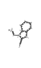 C=Cn1c(=S)sc2ccccc21